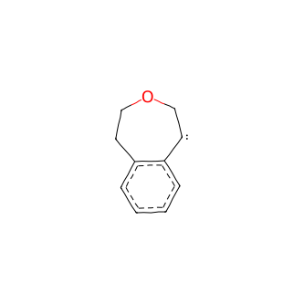 [C]1COCCc2ccccc21